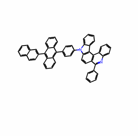 c1ccc(-c2nc3ccccc3c3c2ccc2c3c3ccccc3n2-c2ccc(-c3c4ccccc4c(-c4ccc5ccccc5c4)c4ccccc34)cc2)cc1